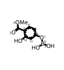 COC(=O)c1ccc(OB(O)O)cc1O